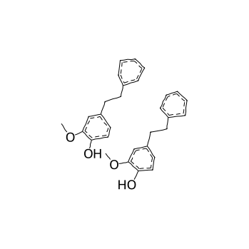 COc1cc(CCc2ccccc2)ccc1O.COc1cc(CCc2ccccc2)ccc1O